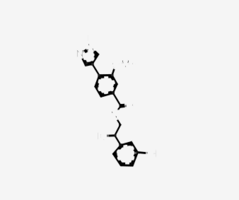 COc1cc(C(=O)NCC(O)c2cccc(O)c2)ccc1-c1cn[nH]c1